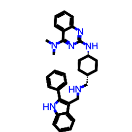 CN(C)c1nc(N[C@H]2CC[C@@H](CNCc3c(-c4ccccc4)[nH]c4ccccc34)CC2)nc2ccccc12